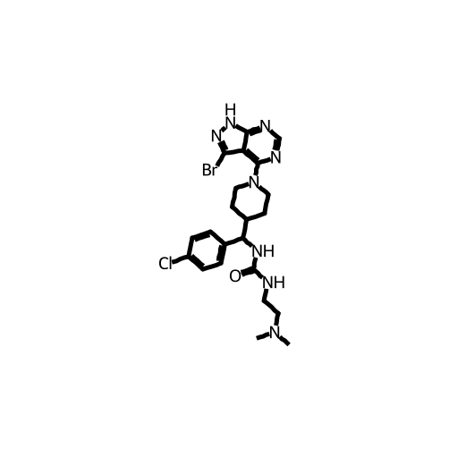 CN(C)CCNC(=O)NC(c1ccc(Cl)cc1)C1CCN(c2ncnc3[nH]nc(Br)c23)CC1